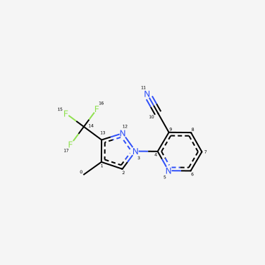 Cc1cn(-c2ncccc2C#N)nc1C(F)(F)F